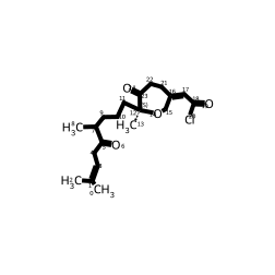 CC(C)=CCC(=O)C(C)CCC[C@]1(C)OCC(=CC(=O)Cl)CCC1=O